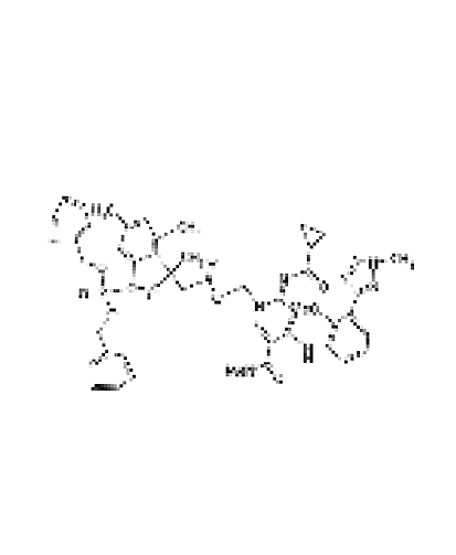 CNC(=O)c1cn(COC(=O)CC(C)(C)c2c(C)cc(C)cc2OP(=O)(OCc2ccccc2)OCc2ccccc2)c(=NC(=O)C2CC2)cc1Nc1cccc(-c2nnn(C)n2)c1OC